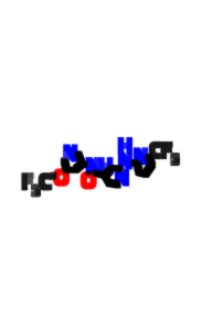 O=C(Nc1cncc(OCC(F)(F)F)c1)c1ccnc(Nc2cccc(C(F)(F)F)n2)c1